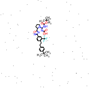 CC(C)(C)OC(=O)NC(=NC(=O)O)N1CCCC1c1nc(-c2ccc(CCc3ccc(C(C)(C)C)cc3)c(C(F)(F)F)c2)no1